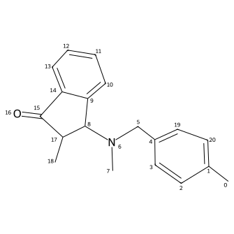 Cc1ccc(CN(C)C2c3ccccc3C(=O)C2C)cc1